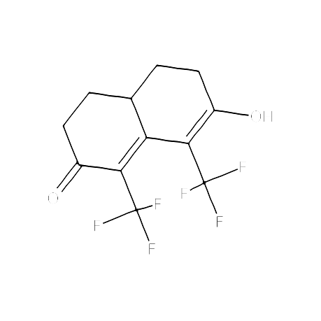 O=C1CCC2CCC(O)=C(C(F)(F)F)C2=C1C(F)(F)F